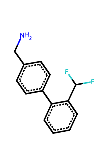 NCc1ccc(-c2ccccc2C(F)F)cc1